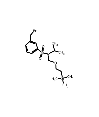 CC(C)N(COCC[Si](C)(C)C)S(=O)(=O)c1cccc(CBr)c1